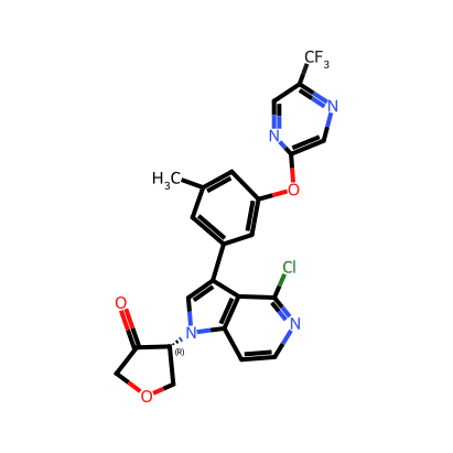 Cc1cc(Oc2cnc(C(F)(F)F)cn2)cc(-c2cn([C@@H]3COCC3=O)c3ccnc(Cl)c23)c1